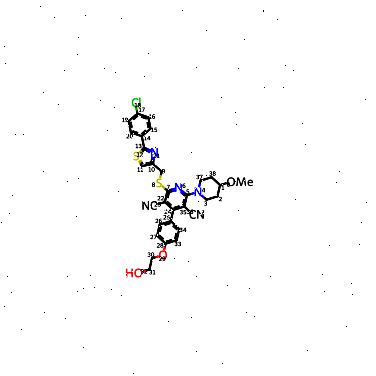 COC1CCN(c2nc(SCc3csc(-c4ccc(Cl)cc4)n3)c(C#N)c(-c3ccc(OCCO)cc3)c2C#N)CC1